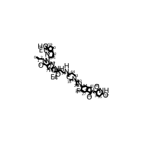 C=CCn1c(=O)c2cnc(NC(C)(CCNC3CCN(C4CN(c5cc6c(cc5F)C(=O)N(C5CCC(=O)NC5=O)C6)C4)CC3)OCC)nc2n1-c1ccc2c(n1)[C@@](O)(CC)CC2